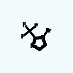 FC(F)(F)c1nccn1Br